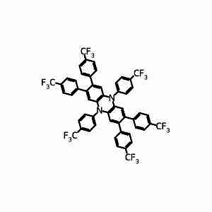 FC(F)(F)c1ccc(-c2cc3c(cc2-c2ccc(C(F)(F)F)cc2)N(c2ccc(C(F)(F)F)cc2)c2cc(-c4ccc(C(F)(F)F)cc4)c(-c4ccc(C(F)(F)F)cc4)cc2N3c2ccc(C(F)(F)F)cc2)cc1